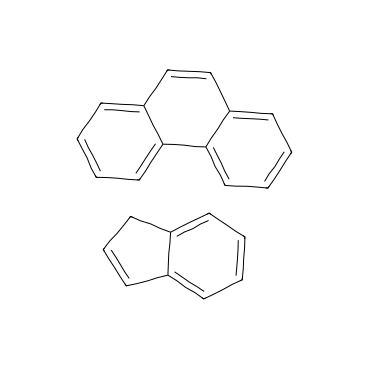 C1=Cc2ccccc2C1.c1ccc2c(c1)ccc1ccccc12